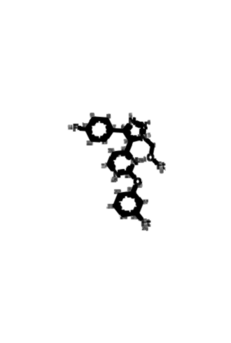 CCOCn1nnc(-c2ccc(F)cc2)c1-c1ccnc(Oc2cccc(CC)c2)n1